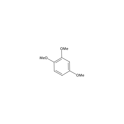 [CH2]Oc1cc(OC)ccc1OC